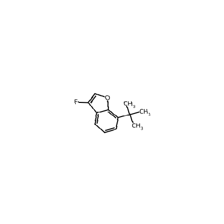 CC(C)(C)c1cccc2c(F)coc12